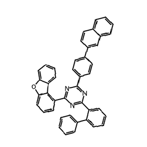 c1ccc(-c2ccccc2-c2nc(-c3ccc(-c4ccc5ccccc5c4)cc3)nc(-c3cccc4oc5ccccc5c34)n2)cc1